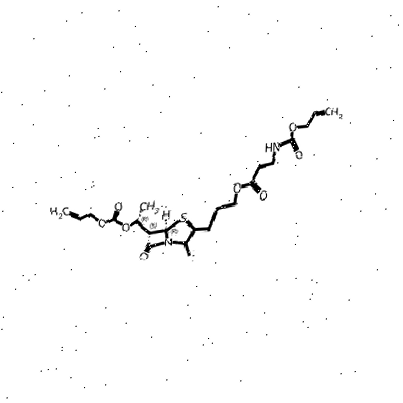 [C]C1C(CCCOC(=O)CCNC(=O)OCC=C)S[C@@H]2[C@@H]([C@@H](C)OC(=O)OCC=C)C(=O)N12